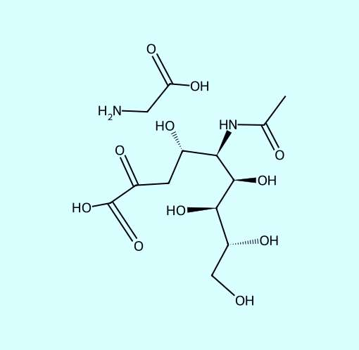 CC(=O)N[C@@H]([C@@H](O)[C@H](O)[C@H](O)CO)[C@@H](O)CC(=O)C(=O)O.NCC(=O)O